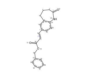 O=C1CCCc2cc(/C=C/C(=O)OCc3ccccc3)cnc2N1